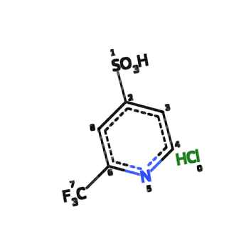 Cl.O=S(=O)(O)c1ccnc(C(F)(F)F)c1